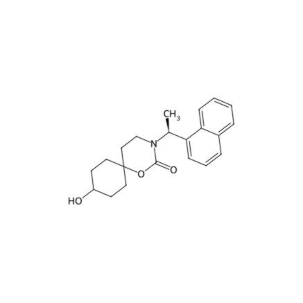 C[C@@H](c1cccc2ccccc12)N1CCC2(CCC(O)CC2)OC1=O